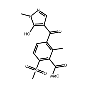 COC(=O)c1c(S(C)(=O)=O)ccc(C(=O)c2cnn(C)c2O)c1C